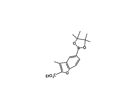 CCOC(=O)c1oc2ccc(B3OC(C)(C)C(C)(C)O3)cc2c1C